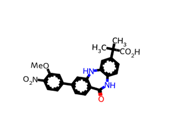 COc1cc(-c2ccc3c(c2)Nc2cc(C(C)(C)C(=O)O)ccc2NC3=O)ccc1[N+](=O)[O-]